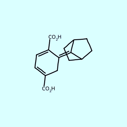 O=C(O)C1=CC=C(C(=O)O)C(=C2C3CCC2CC3)C1